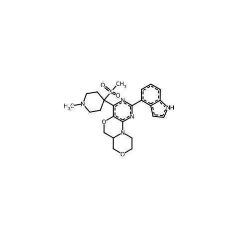 CN1CCC(c2nc(-c3cccc4[nH]ccc34)nc3c2OCC2COCCN32)(S(C)(=O)=O)CC1